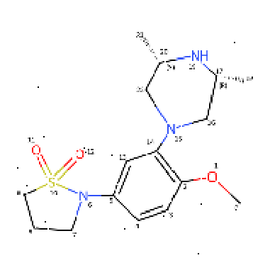 COc1ccc(N2CCCS2(=O)=O)cc1N1C[C@@H](C)N[C@@H](C)C1